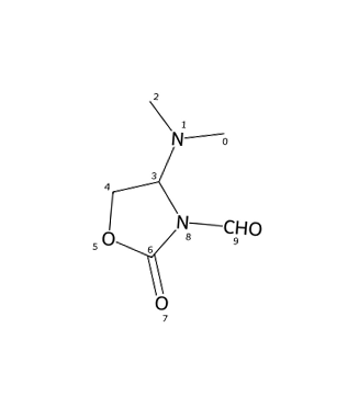 CN(C)C1COC(=O)N1C=O